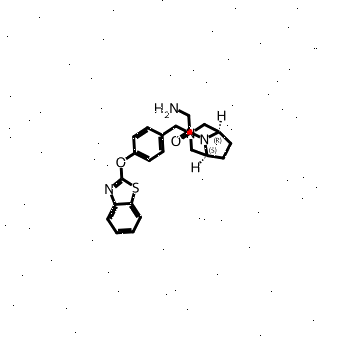 NCC(=O)N1[C@@H]2CC[C@H]1CN(Cc1ccc(Oc3nc4ccccc4s3)cc1)C2